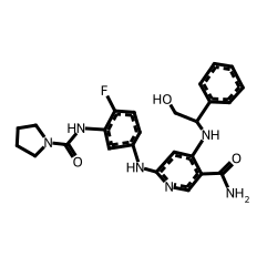 NC(=O)c1cnc(Nc2ccc(F)c(NC(=O)N3CCCC3)c2)cc1NC(CO)c1ccccc1